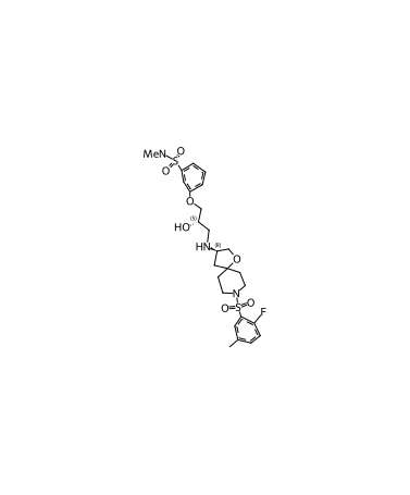 CNS(=O)(=O)c1cccc(OC[C@@H](O)CN[C@H]2COC3(CCN(S(=O)(=O)c4cc(C)ccc4F)CC3)C2)c1